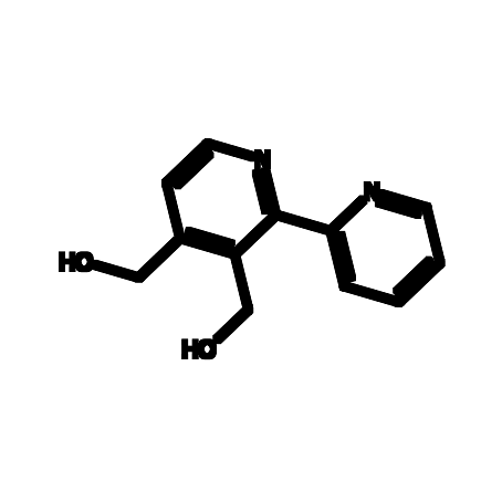 OCc1ccnc(-c2ccccn2)c1CO